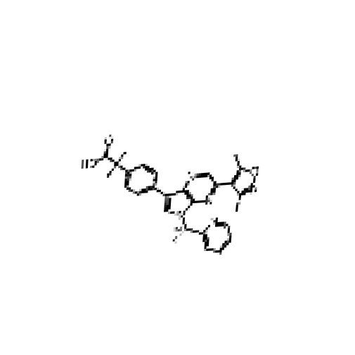 Cc1noc(C)c1-c1cnc2c(-c3ccc(C(C)(C)C(=O)O)cc3)cn([C@@H](C)c3ccccn3)c2n1